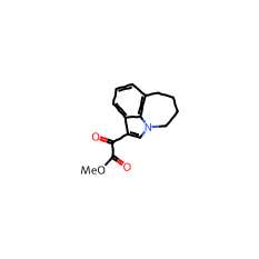 COC(=O)C(=O)c1cn2c3c(cccc13)CCCC2